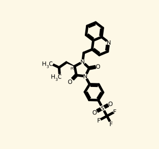 CC(C)C[C@@H]1C(=O)N(c2ccc(S(=O)(=O)C(F)(F)F)cc2)C(=O)N1Cc1ccnc2ccccc12